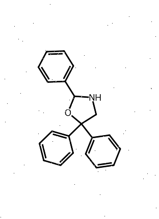 c1ccc(C2NCC(c3ccccc3)(c3ccccc3)O2)cc1